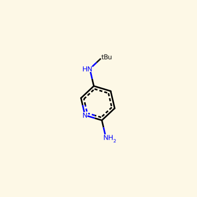 CC(C)(C)Nc1ccc(N)nc1